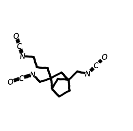 O=C=NCCCC1(CN=C=O)CC2(CN=C=O)CCC1C2